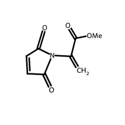 C=C(C(=O)OC)N1C(=O)C=CC1=O